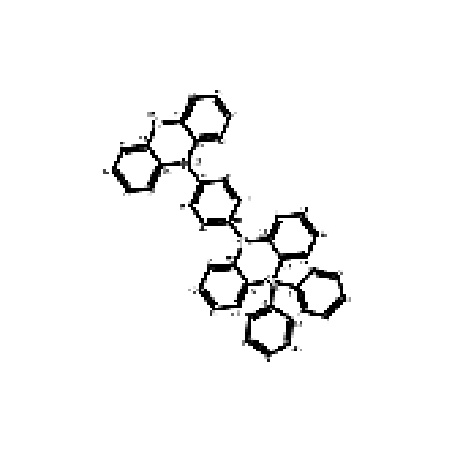 c1ccc([Si]2(c3ccccc3)c3ccccc3P(c3ccc(N4c5ccccc5Oc5ccccc54)cc3)c3ccccc32)cc1